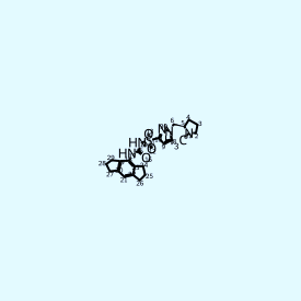 CN1CCC[C@@H]1Cn1ccc(S(=O)(=O)NC(=O)Nc2c3c(cc4c2CCC4)CCC3)n1